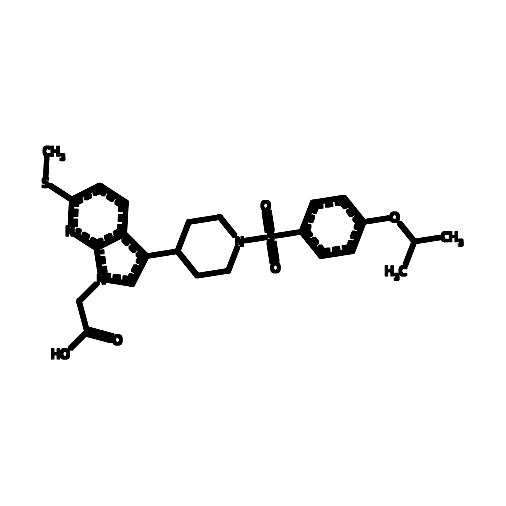 CSc1ccc2c(C3CCN(S(=O)(=O)c4ccc(OC(C)C)cc4)CC3)cn(CC(=O)O)c2n1